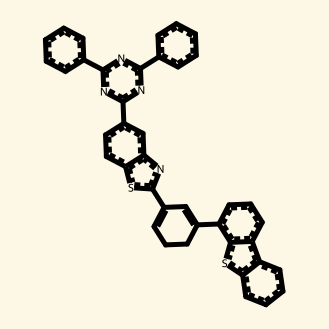 C1=C(c2nc3cc(-c4nc(-c5ccccc5)nc(-c5ccccc5)n4)ccc3s2)C=C(c2cccc3c2sc2ccccc23)CC1